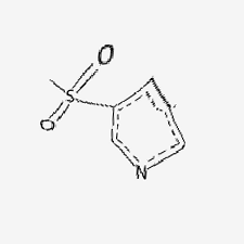 CS(=O)(=O)c1c[c]cnc1